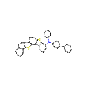 c1ccc(-c2ccc(N(c3ccccc3)c3cccc4c3sc3ccc5c6ccc7ccccc7c6sc5c34)cc2)cc1